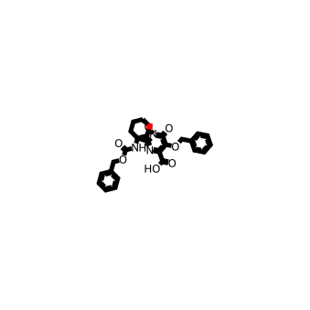 O=C(NC12CCC(CC1)Cn1c2nc(C(=O)O)c(OCc2ccccc2)c1=O)OCc1ccccc1